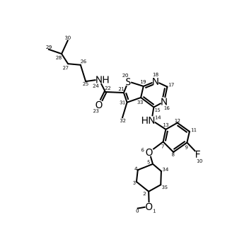 COC1CCC(Oc2cc(F)ccc2Nc2ncnc3sc(C(=O)NCCCC(C)C)c(C)c23)CC1